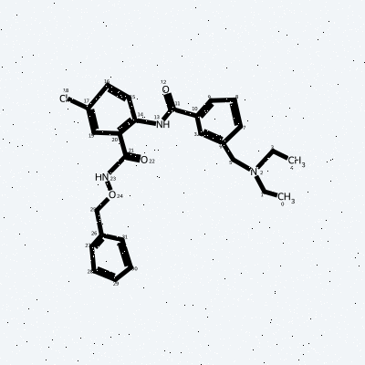 CCN(CC)Cc1cccc(C(=O)Nc2ccc(Cl)cc2C(=O)NOCc2ccccc2)c1